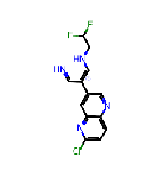 N=C/C(=C\NCC(F)F)c1cnc2ccc(Cl)nc2c1